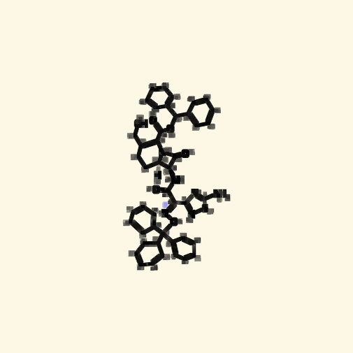 Nc1nc(/C(=N\OC(c2ccccc2)(c2ccccc2)c2ccccc2)C(=O)N[C@@H]2C(=O)N3C(C(=O)OC(c4ccccc4)c4ccccc4)=C(CO)CC[C@H]23)ns1